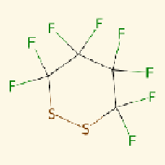 FC1(F)SSC(F)(F)C(F)(F)C1(F)F